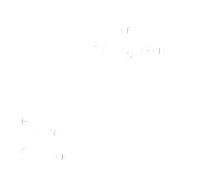 O=C(O)N(C1CCC(CC2CCC(N(C(=O)O)C(C(F)(F)F)C(F)(F)F)CC2)CC1)C(C(F)(F)F)C(F)(F)F